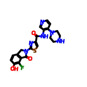 O=C(Nc1cnccc1N1CCNCC1)c1csc(N2Cc3ccc(O)c(F)c3C2=O)n1